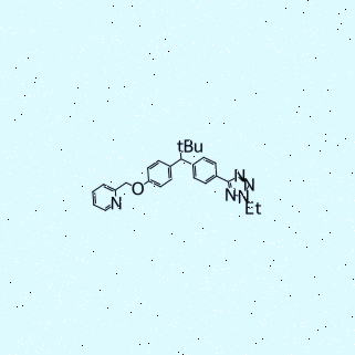 CCn1nnc(-c2ccc(C(c3ccc(OCc4ccccn4)cc3)C(C)(C)C)cc2)n1